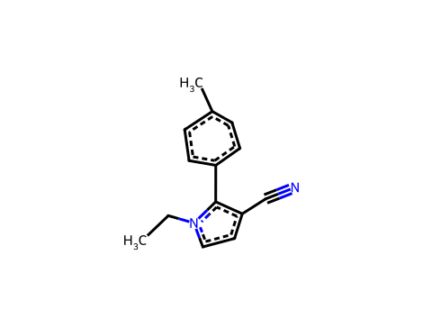 CCn1ccc(C#N)c1-c1ccc(C)cc1